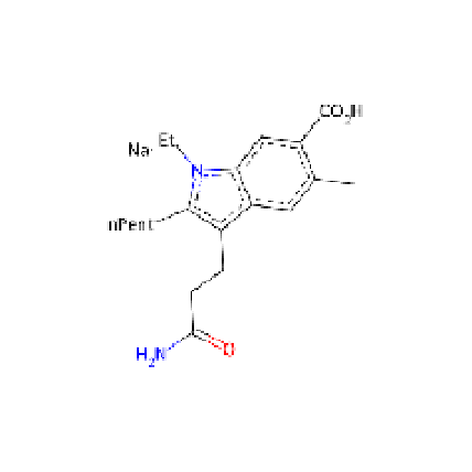 CCCCCc1c(CCC(N)=O)c2cc(C)c(C(=O)O)cc2n1CC.[Na]